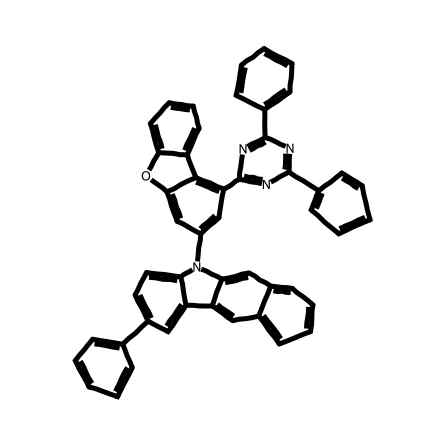 c1ccc(-c2ccc3c(c2)c2cc4ccccc4cc2n3-c2cc(-c3nc(-c4ccccc4)nc(-c4ccccc4)n3)c3c(c2)oc2ccccc23)cc1